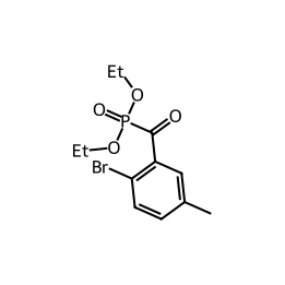 CCOP(=O)(OCC)C(=O)c1cc(C)ccc1Br